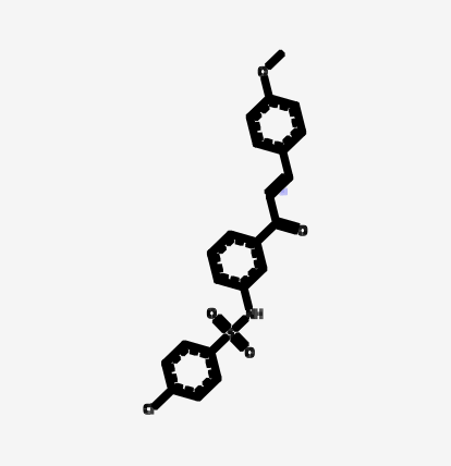 COc1ccc(/C=C/C(=O)c2cccc(NS(=O)(=O)c3ccc(Cl)cc3)c2)cc1